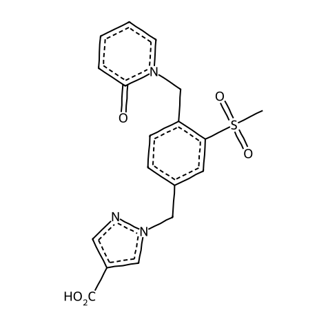 CS(=O)(=O)c1cc(Cn2cc(C(=O)O)cn2)ccc1Cn1ccccc1=O